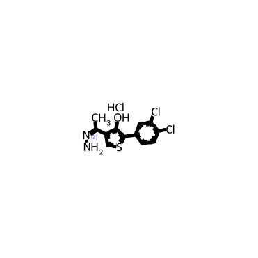 C/C(=N/N)c1csc(-c2ccc(Cl)c(Cl)c2)c1O.Cl